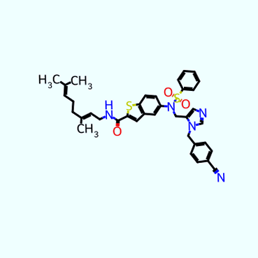 CC(C)=CCC/C(C)=C/CNC(=O)c1cc2cc(N(Cc3cncn3Cc3ccc(C#N)cc3)S(=O)(=O)c3ccccc3)ccc2s1